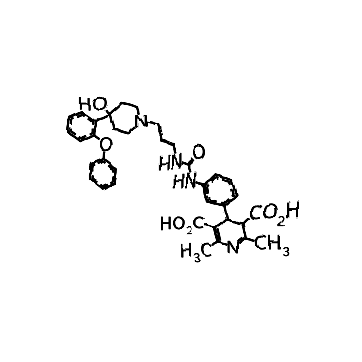 CC1=NC(C)=C(C(=O)O)C(c2cccc(NC(=O)NCCCN3CCC(O)(c4ccccc4Oc4ccccc4)CC3)c2)C1C(=O)O